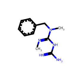 CN=C(NC(=N)N)N(C)Cc1ccccc1